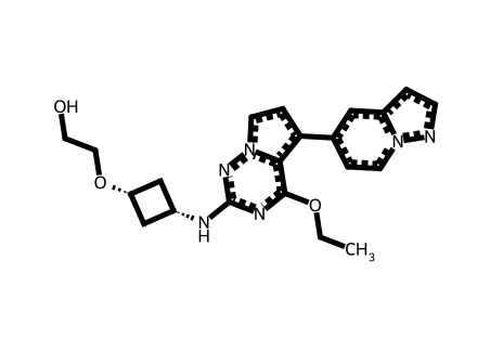 CCOc1nc(N[C@H]2C[C@@H](OCCO)C2)nn2ccc(-c3ccn4nccc4c3)c12